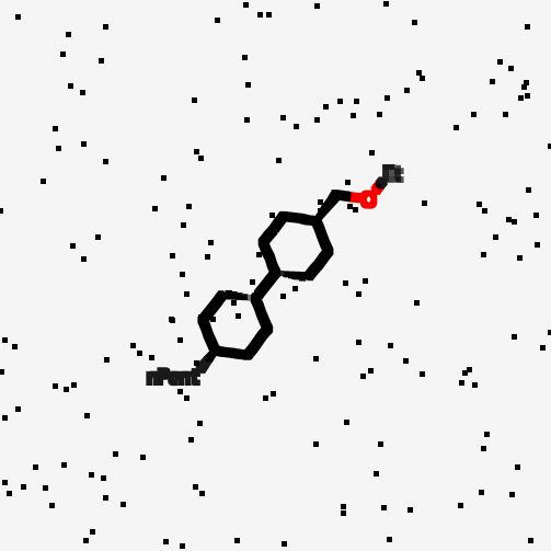 CCCCC[C@H]1CC[C@H]([C@H]2CC[C@H](COCC)CC2)CC1